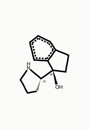 O[C@]1([C@@H]2CCCN2)CCc2ccccc21